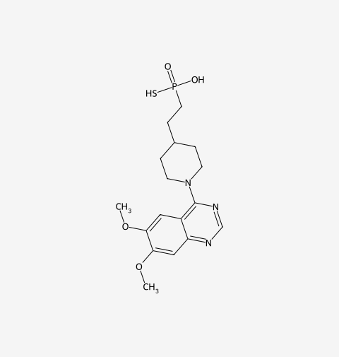 COc1cc2ncnc(N3CCC(CCP(=O)(O)S)CC3)c2cc1OC